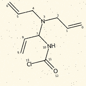 C=CCN(CC=C)C(C=C)NC(=O)Cl